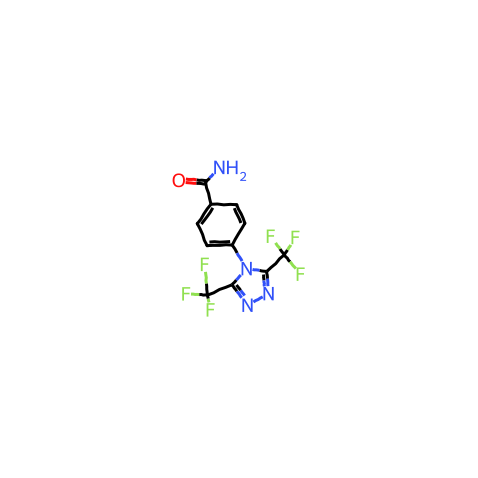 NC(=O)c1ccc(-n2c(C(F)(F)F)nnc2C(F)(F)F)cc1